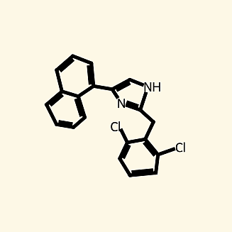 Clc1cccc(Cl)c1Cc1nc(-c2cccc3ccccc23)c[nH]1